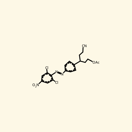 CC(=O)OCCC(CCC#N)c1ccc(N=Nc2c(Cl)cc([N+](=O)[O-])cc2Cl)cc1